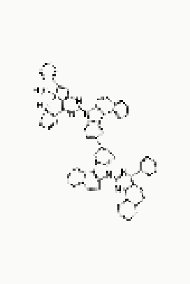 CC1(C)C(c2ccccc2)=Cc2nc(-n3c4ccc(-c5ccc6c(c5)c5c7ccccc7ccc5n6-c5nc(-c6ccccc6)c6ccc7ccccc7c6n5)cc4c4c5ccccc5ccc43)nc(-c3ccccc3)c21